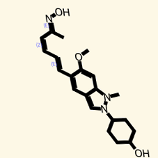 COC1=CC2C(=CN(C3CCC(O)CC3)N2C)C=C1/C=C/C=C\C(C)=N\O